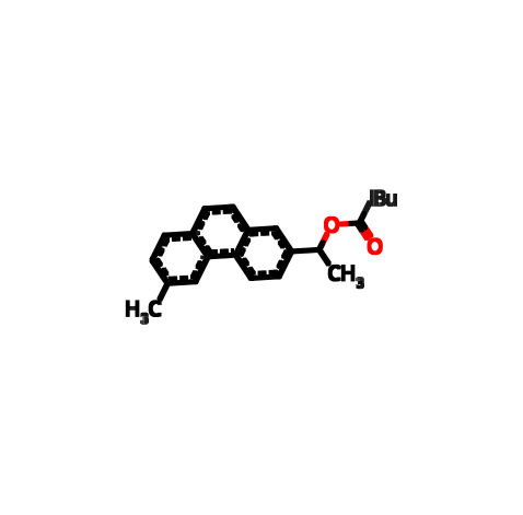 CCC(C)C(=O)OC(C)c1ccc2c(ccc3ccc(C)cc32)c1